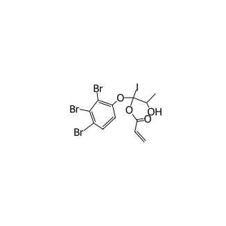 C=CC(=O)OC(I)(Oc1ccc(Br)c(Br)c1Br)C(C)O